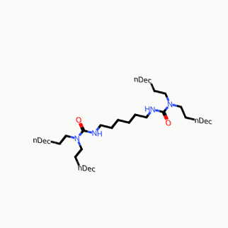 CCCCCCCCCCCCN(CCCCCCCCCCCC)C(=O)NCCCCCCNC(=O)N(CCCCCCCCCCCC)CCCCCCCCCCCC